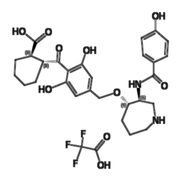 O=C(N[C@H]1CNCCC[C@@H]1OCc1cc(O)c(C(=O)[C@@H]2CCCC[C@H]2C(=O)O)c(O)c1)c1ccc(O)cc1.O=C(O)C(F)(F)F